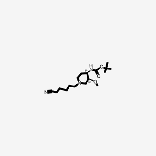 CO[C@H]1CN(CCCCCC#N)CC[C@H]1NC(=O)OC(C)(C)C